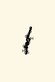 COCCOCCOCC(=O)N1CCN(c2ccc(N3C[C@H](CNC(=S)OC)OC3=O)cc2F)CCN1